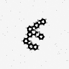 c1cc(-c2nc3ccccc3nc2-n2c3ccccc3c3cc4sc5ccccc5c4cc32)cc(-c2cccc3c2sc2c4ccccc4ccc32)c1